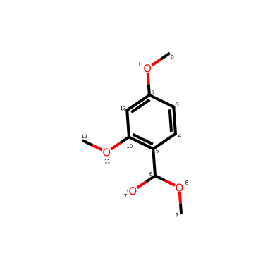 COc1ccc(C([O])OC)c(OC)c1